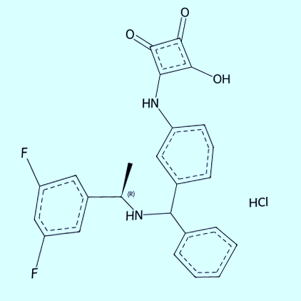 C[C@@H](NC(c1ccccc1)c1cccc(Nc2c(O)c(=O)c2=O)c1)c1cc(F)cc(F)c1.Cl